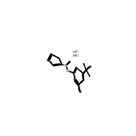 Cl.Cl.[CH2]=[Ti]([O]c1cc(C)cc(C(C)(C)C)c1)[C]1=CC=CC1